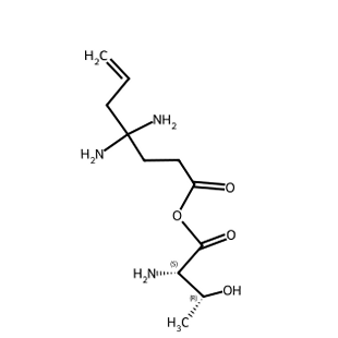 C=CCC(N)(N)CCC(=O)OC(=O)[C@@H](N)[C@@H](C)O